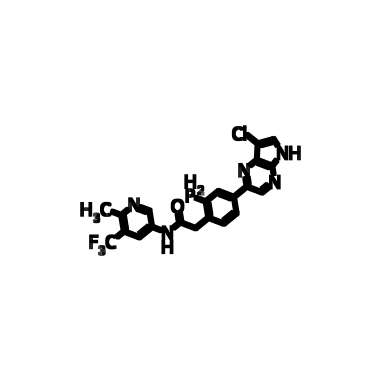 Cc1ncc(NC(=O)Cc2ccc(-c3cnc4[nH]cc(Cl)c4n3)cc2P)cc1C(F)(F)F